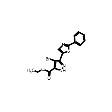 CCOC(=O)c1[nH]nc(-c2cnc(-c3ccccc3)s2)c1Br